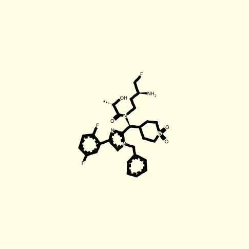 C[C@H](O)C(=O)N(CC[C@H](N)CF)[C@H](c1nc(-c2cc(F)ccc2F)cn1Cc1ccccc1)C1CCS(=O)(=O)CC1